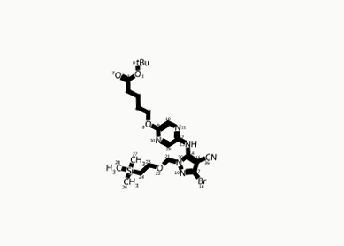 CC(C)(C)OC(=O)CCCCOc1cnc(Nc2c(C#N)c(Br)nn2COCC[Si](C)(C)C)cn1